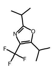 CC(C)c1nc(C(F)(F)F)c(C(C)C)o1